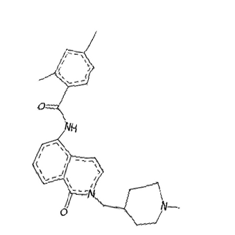 Cc1ccc(C(=O)Nc2cccc3c(=O)n(CC4CCN(C)CC4)ccc23)c(C)c1